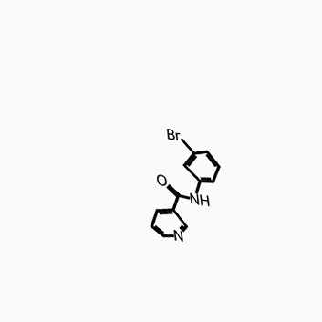 O=C(Nc1cccc(Br)c1)c1cccnc1